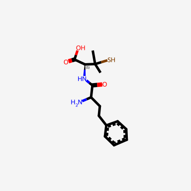 CC(C)(S)[C@@H](NC(=O)C(N)CCc1ccccc1)C(=O)O